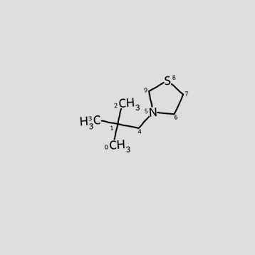 CC(C)(C)CN1CCSC1